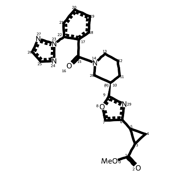 COC(=O)C1CC1c1coc([C@@H]2CCCN(C(=O)c3ccccc3-n3nccn3)C2)n1